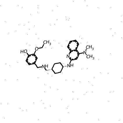 CCOc1cc(CNC[C@H]2CC[C@@H](Nc3cc(N(C)C)c4ccccc4n3)CC2)ccc1O